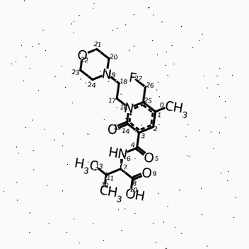 Cc1cc(C(=O)N[C@@H](C(=O)O)C(C)C)c(=O)n(CCN2CCOCC2)c1CF